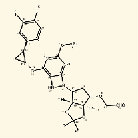 CCCSc1nc(N[C@@H]2C[C@H]2c2ccc(F)c(F)c2)c2[nH]n([C@@H]3C[C@H](OCC=O)[C@H]4OC(C)(C)O[C@H]43)c2n1